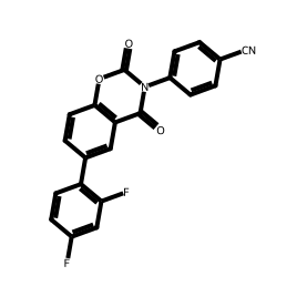 N#Cc1ccc(-n2c(=O)oc3ccc(-c4ccc(F)cc4F)cc3c2=O)cc1